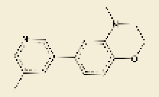 Cc1cncc(-c2ccc3c(c2)N(C)CCO3)c1